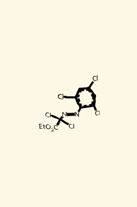 CCOC(=O)C(Cl)(Cl)/N=N/c1c(Cl)cc(Cl)cc1Cl